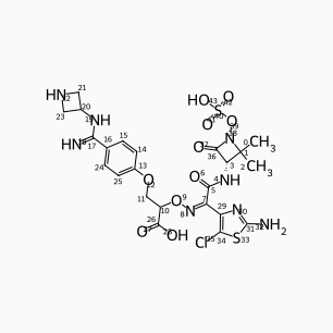 CC1(C)[C@H](NC(=O)/C(=N\OC(COc2ccc(C(=N)NC3CNC3)cc2)C(=O)O)c2nc(N)sc2Cl)C(=O)N1OS(=O)(=O)O